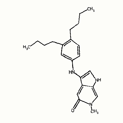 CCCCc1ccc(Nc2c[nH]c3cn(C)c(=O)cc23)cc1CCCC